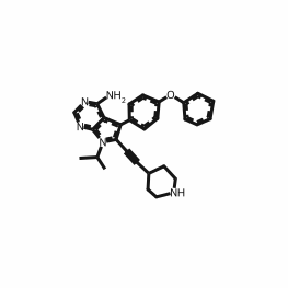 CC(C)n1c(C#CC2CCNCC2)c(-c2ccc(Oc3ccccc3)cc2)c2c(N)ncnc21